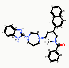 CN(CC(CCN1CCCN(c2nc3ccccc3[nH]2)CC1)c1ccc2ccccc2c1)C(=O)c1ccccc1